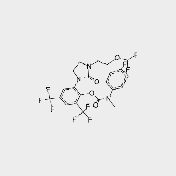 CN(C(=O)Oc1c(N2CCN(CCOC(F)F)C2=O)cc(C(F)(F)F)cc1C(F)(F)F)c1ccc(F)cc1